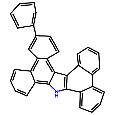 c1ccc(-c2ccc3c(c2)c2ccccc2c2[nH]c4c5ccccc5c5ccccc5c4c32)cc1